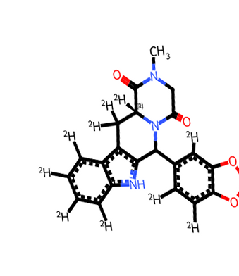 [2H]c1c([2H])c(C2c3[nH]c4c([2H])c([2H])c([2H])c([2H])c4c3C([2H])([2H])[C@]3([2H])C(=O)N(C)CC(=O)N23)c([2H])c2c1OCO2